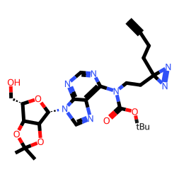 C#CCCC1(CCN(C(=O)OC(C)(C)C)c2ncnc3c2ncn3[C@H]2O[C@@H](CO)C3OC(C)(C)OC32)N=N1